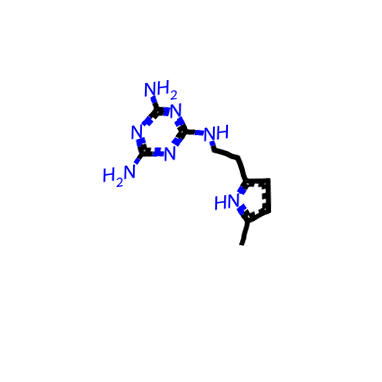 Cc1ccc(CCNc2nc(N)nc(N)n2)[nH]1